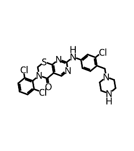 O=C1c2cnc(Nc3ccc(CN4CCNCC4)c(Cl)c3)nc2SCN1c1c(Cl)cccc1Cl